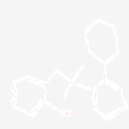 CC(C)(Cc1ccccc1O)c1ccccc1C1CCCCC1